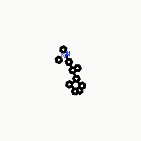 c1ccc(-n2c(-c3ccc(-c4ccc(-c5ccc6c(c5)c5ccccc5c5cccc7ccc8cccc6c8c75)c5ccccc45)cc3)nc3ccccc32)cc1